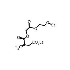 C=C(CC(=O)OCC)C(=O)OCC(=O)OCCOCC